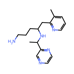 Cc1cccnc1CC(CCCN)NC(C)c1cnccn1